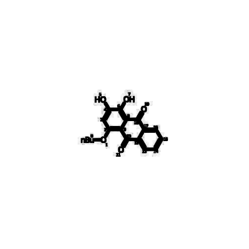 CCCCOc1cc(O)c(O)c2c1C(=O)c1ccccc1C2=O